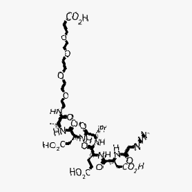 CC(C)[C@H](NC(=O)[C@H](CCC(=O)O)NC(=O)[C@H](CC(=O)O)NC(=O)CN=[N+]=[N-])C(=O)N[C@@H](CC(=O)O)C(=O)N[C@H](C)C(=O)NCCOCCOCCOCCOCCC(=O)O